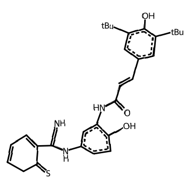 CC(C)(C)c1cc(C=CC(=O)Nc2cc(NC(=N)C3=CC=CCC3=S)ccc2O)cc(C(C)(C)C)c1O